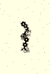 CC[C@@H](C(=O)O)c1ccc(-c2cccc(S(=O)(=O)N(C)CC(O)CNC(C)(C)CC3Cc4ccccc4C3)c2)cc1